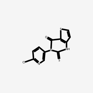 O=c1c2sccc2[nH]c(=S)n1-c1ccc(Cl)nc1